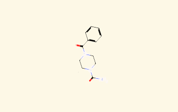 C[C@@H]1CN(C(=O)c2ccccc2)CCN1C(N)=O